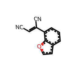 N#CC=C(C#N)c1cccc2ccoc12